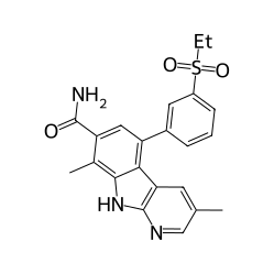 CCS(=O)(=O)c1cccc(-c2cc(C(N)=O)c(C)c3[nH]c4ncc(C)cc4c23)c1